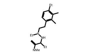 C=C(NC)C(CC)NN(CC)CCc1ccc(CC)c(C)c1C